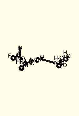 COCCN1C[C@@H](NC(=O)Nc2c(C)c(-c3cnc(N4CCN(C(=O)CCCCCCCNc5cccc6c5C(=O)N(C5CCC(=O)NC5=O)C6=O)CC4)nc3)nn2-c2ccccc2)[C@H](c2cccc(F)c2)C1